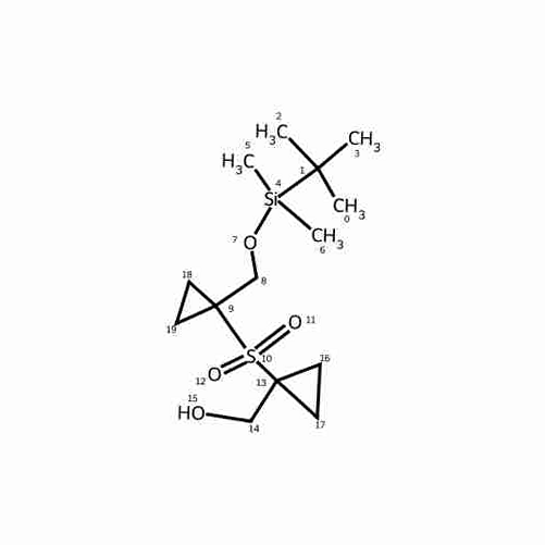 CC(C)(C)[Si](C)(C)OCC1(S(=O)(=O)C2(CO)CC2)CC1